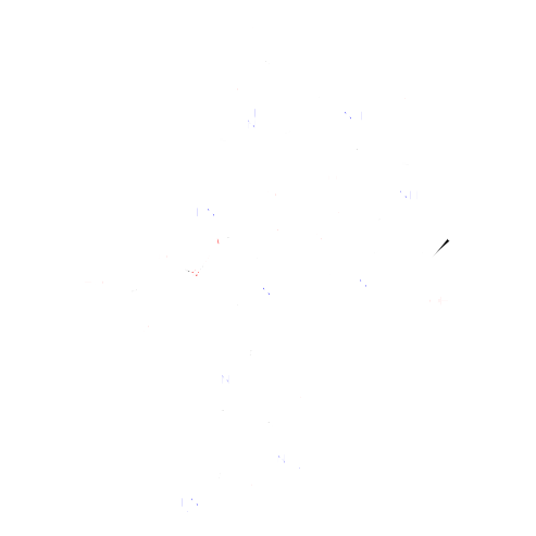 CC(=O)N[C@H](C(=O)N[C@@H](CO)C(=O)N[C@@H](CC(=O)O)C(=O)N[C@@H](C)C(=O)N[C@@H](CCC(=O)O)C(=O)N[C@@H](CC(=O)O)C(=O)N[C@@H](CC(N)=O)C(N)=O)[C@@H](C)O